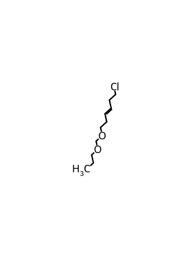 CCCOCOCC/C=C/CCCl